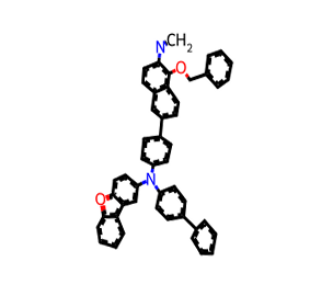 C=Nc1ccc2cc(-c3ccc(N(c4ccc(-c5ccccc5)cc4)c4ccc5oc6ccccc6c5c4)cc3)ccc2c1OCc1ccccc1